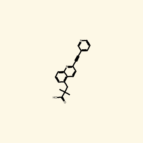 CC(C)(Cc1cccc2nc(C#Cc3cccnc3)ccc12)C(=O)O